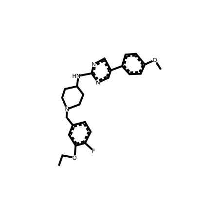 CCOc1cc(CN2CCC(Nc3ncc(-c4ccc(OC)cc4)cn3)CC2)ccc1F